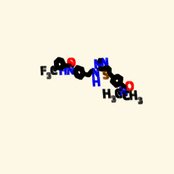 CN(C)C(=O)c1ccc(-c2cc3ncnc(NCCc4ccc(NC(=O)c5cccc(C(F)(F)F)c5)cc4)c3s2)cc1